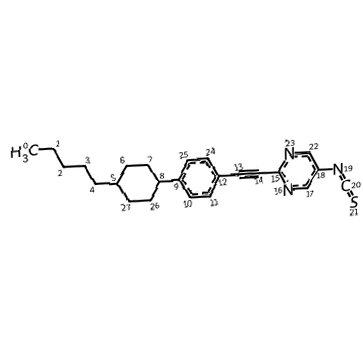 CCCCCC1CCC(c2ccc(C#Cc3ncc(N=C=S)cn3)cc2)CC1